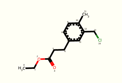 CCOC(=O)CCc1ccc(C)c(CCl)c1